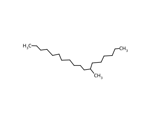 CCCCCCCCCCCC(C)CCCCCC